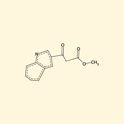 COC(=O)CC(=O)c1cnc2ccccc2c1